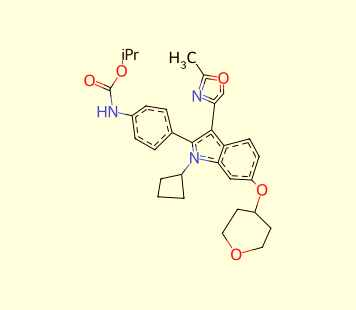 Cc1nc(-c2c(-c3ccc(NC(=O)OC(C)C)cc3)n(C3CCC3)c3cc(OC4CCOCC4)ccc23)co1